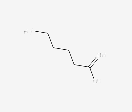 CCCCCC([NH])=N